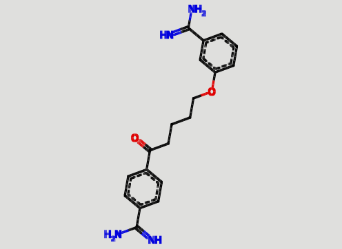 N=C(N)c1ccc(C(=O)CCCCOc2cccc(C(=N)N)c2)cc1